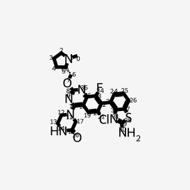 CN1CCC[C@H]1COc1nc(N2CCNC(=O)C2)c2cc(Cl)c(-c3cccc4sc(N)nc34)c(F)c2n1